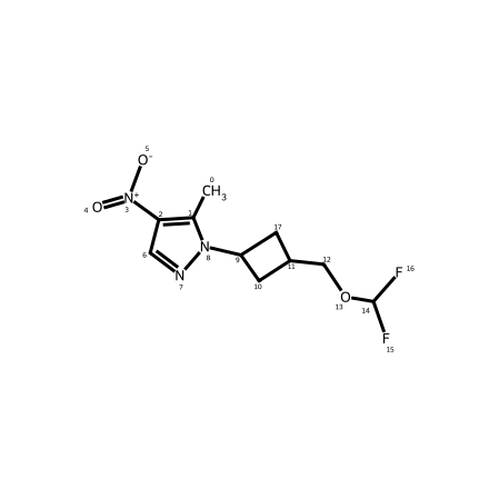 Cc1c([N+](=O)[O-])cnn1C1CC(COC(F)F)C1